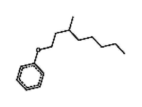 CCCCCC(C)CCOc1ccccc1